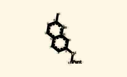 CCCCCOc1ccc2ccc(C)nc2c1